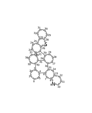 c1ccc2c(c1)-c1cc3ncccc3cc1-c1cccc(-c3cccc4c3sc3ccccc34)c1-c1ccccc1-2